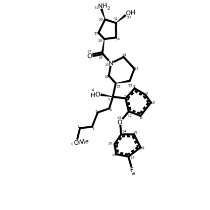 COCCCC[C@@](O)(c1ccccc1Oc1ccc(F)cc1)[C@@H]1CCCN(C(=O)[C@H]2C[C@@H](N)[C@@H](O)C2)C1